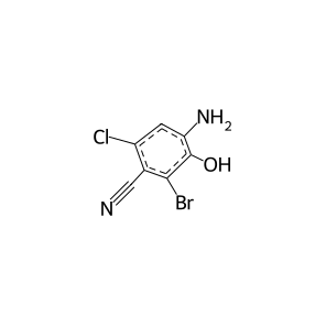 N#Cc1c(Cl)cc(N)c(O)c1Br